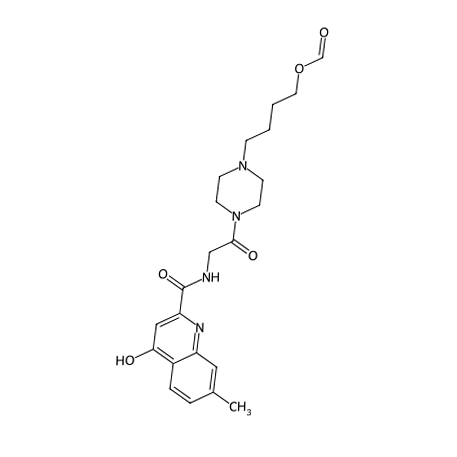 Cc1ccc2c(O)cc(C(=O)NCC(=O)N3CCN(CCCCOC=O)CC3)nc2c1